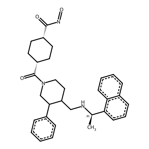 C[C@@H](NCC1CCN(C(=O)[C@H]2CC[C@@H](C(=O)N=O)CC2)CC1c1ccccc1)c1cccc2ccccc12